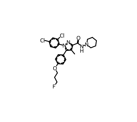 Cc1c(C(=O)NN2CCCCC2)nn(-c2ccc(Cl)cc2Cl)c1-c1ccc(OCCCF)cc1